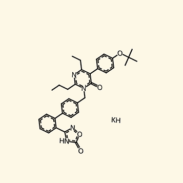 CCCc1nc(CC)c(-c2ccc(OC(C)(C)C)cc2)c(=O)n1Cc1ccc(-c2ccccc2-c2noc(=O)[nH]2)cc1.[KH]